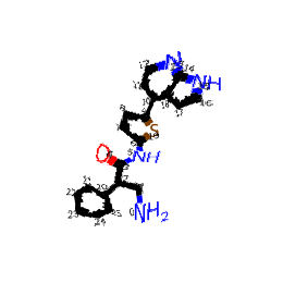 NCC(C(=O)Nc1ccc(-c2ccnc3[nH]ccc23)s1)c1ccccc1